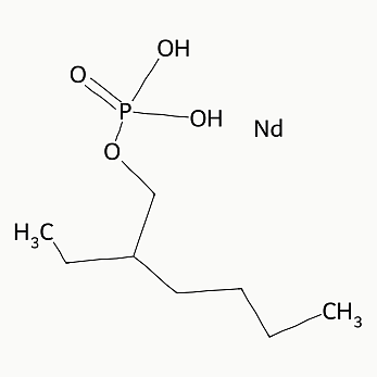 CCCCC(CC)COP(=O)(O)O.[Nd]